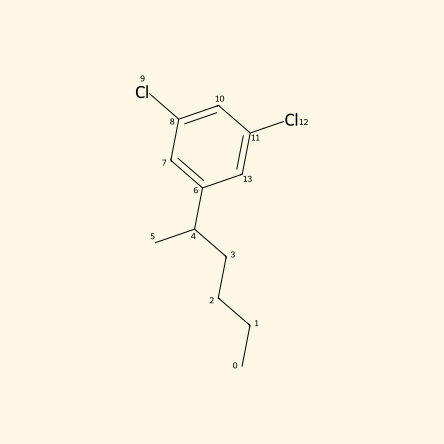 CCCCC(C)c1cc(Cl)cc(Cl)c1